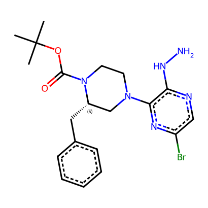 CC(C)(C)OC(=O)N1CCN(c2nc(Br)cnc2NN)C[C@@H]1Cc1ccccc1